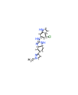 Cn1ccc(-c2ccc3[nH]c(Nc4cc(Cl)c5cc[nH]c5c4)nc3c2)n1